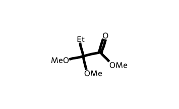 CCC(OC)(OC)C(=O)OC